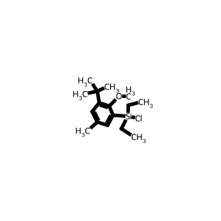 CC[Si](Cl)(CC)c1cc(C)cc(C(C)(C)C)c1OC